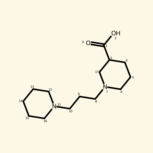 O=C(O)C1CCCN(CCCN2CCCCC2)C1